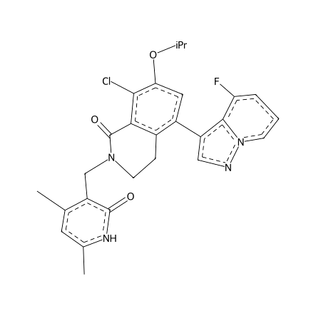 Cc1cc(C)c(CN2CCc3c(-c4cnn5cccc(F)c45)cc(OC(C)C)c(Cl)c3C2=O)c(=O)[nH]1